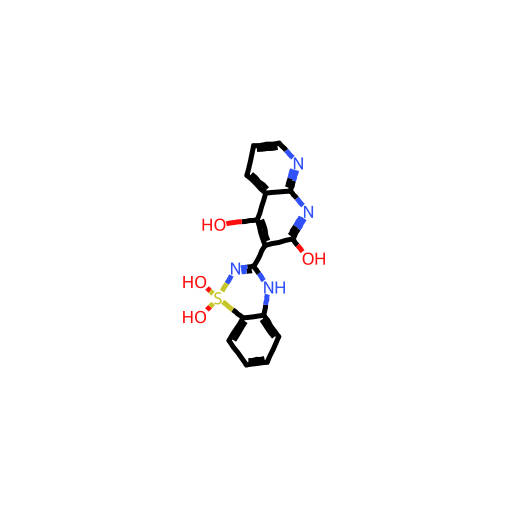 Oc1nc2ncccc2c(O)c1C1=NS(O)(O)c2ccccc2N1